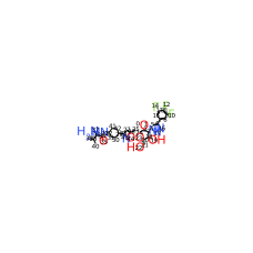 CO[C@@H]1[C@@H](n2cc(-c3cc(F)c(F)c(F)c3)nn2)[C@@H](O)[C@@H](CO)O[C@@H]1Cc1cc(C2CCC(NC(=O)C(N)C(C)C)CC2)no1